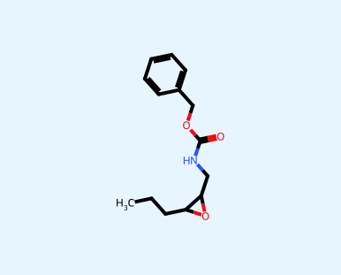 CCCC1OC1CNC(=O)OCc1ccccc1